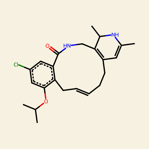 CC1=CC2=C(CNC(=O)c3cc(Cl)cc(OC(C)C)c3C/C=C/CC2)C(C)N1